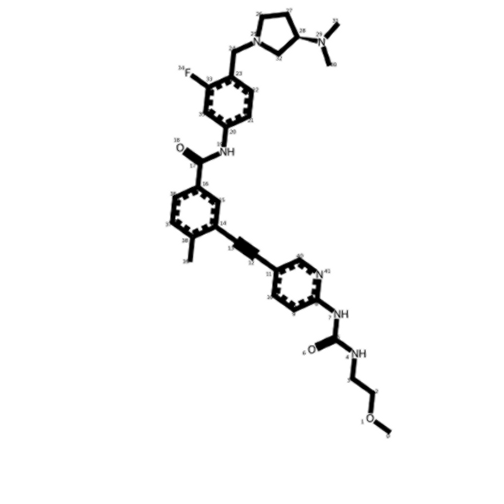 COCCNC(=O)Nc1ccc(C#Cc2cc(C(=O)Nc3ccc(CN4CC[C@@H](N(C)C)C4)c(F)c3)ccc2C)cn1